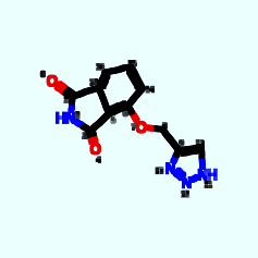 O=C1NC(=O)c2c(OCc3c[nH]nn3)cccc21